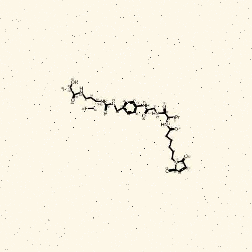 CC(C)C(NC(=O)CCCCCN1C(=O)C=CC1=O)C(=O)NCC(=O)Nc1ccc(COC(=O)N[C@H](CF)CCNC(=O)[C@H](C)O)cc1